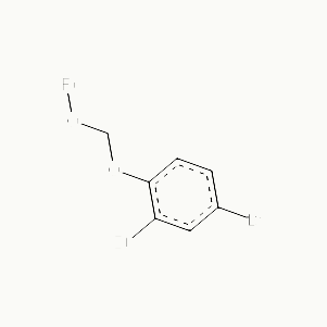 CCOCOc1ccc(Br)cc1CC